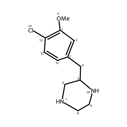 COc1cc(CC2CNCCN2)ccc1Cl